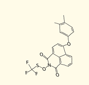 Cc1ccc(Oc2ccc3c4c(cccc24)C(=O)N(OSC(F)(F)F)C3=O)cc1C